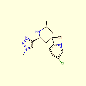 C[C@H]1CC(C#N)(c2ccc(Cl)cn2)C[C@@H](c2cn(C)nn2)N1